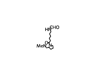 CNCC1CCCN1C(=O)CCCCCNC=O